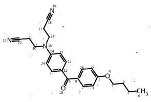 CCCCOc1ccc(C(=O)c2ccc(N(CCC#N)CCC#N)cc2)cc1